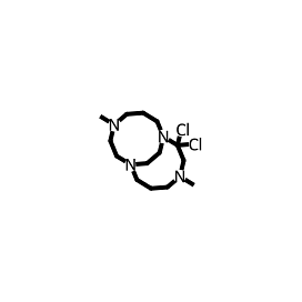 CN1CCCN2CCN(CCCN(C)CC2(Cl)Cl)CC1